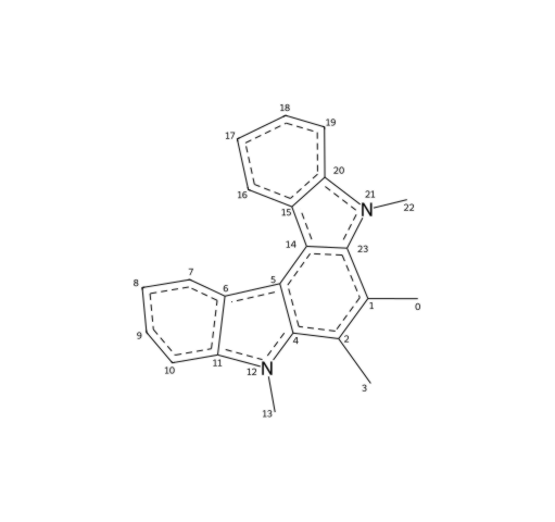 Cc1c(C)c2c(c3ccccc3n2C)c2c3ccccc3n(C)c12